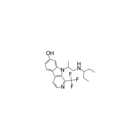 CCC(CC)NCC(C)n1c2cc(O)ccc2c2ccnc(C(F)(F)F)c21